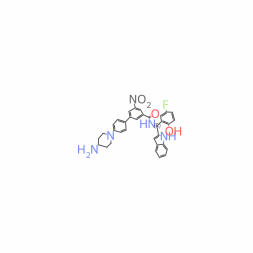 NC1CCN(c2ccc(-c3cc(C(=O)N[C@@H](c4cc5ccccc5[nH]4)c4cc(F)ccc4O)cc([N+](=O)[O-])c3)cc2)CC1